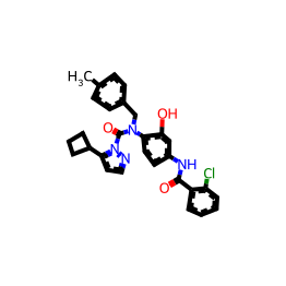 Cc1ccc(CN(C(=O)n2nccc2C2CCC2)c2ccc(NC(=O)c3ccccc3Cl)cc2O)cc1